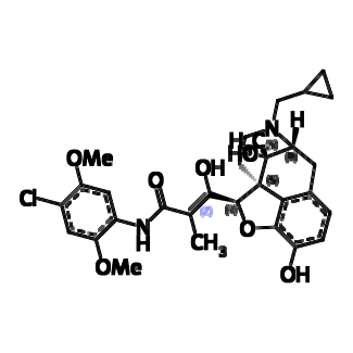 COc1cc(NC(=O)/C(C)=C(\O)[C@@H]2Oc3c(O)ccc4c3[C@@]23CCN(CC2CC2)[C@H](C4)[C@@]3(C)O)c(OC)cc1Cl